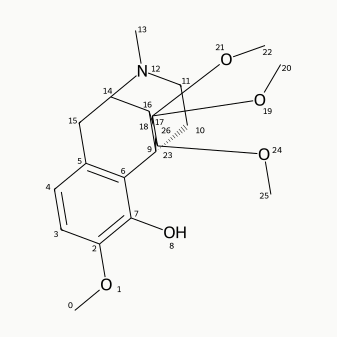 COc1ccc2c(c1O)[C@@]13CCN(C)C(C2)C1CC(OC)(OC)C(OC)C3